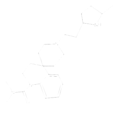 CC1CCC(CCN2CCC3(CC2)CCN(C(=O)N(C)C)c2ccccc23)N1